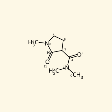 CN(C)C(=O)C1CCN(C)C1=O